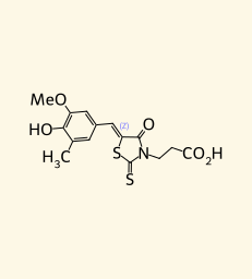 COc1cc(/C=C2\SC(=S)N(CCC(=O)O)C2=O)cc(C)c1O